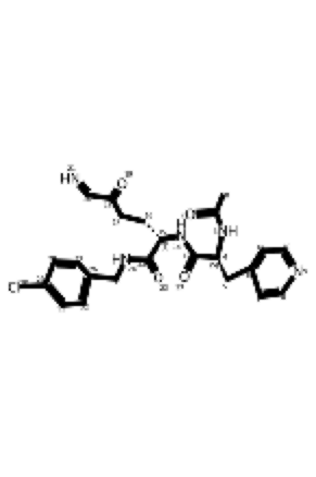 CC(=O)N[C@@H](Cc1ccncc1)C(=O)N[C@@H](CCC(=O)C=N)C(=O)NCc1ccc(Cl)cc1